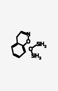 C1=NOc2ccccc2C1.[SiH3]O[SiH3]